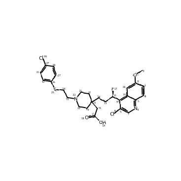 COc1ccc2ncc(Cl)c([C@H](F)CCC3(CC(=O)O)CCN(CCSc4ccc(Cl)cc4)CC3)c2c1